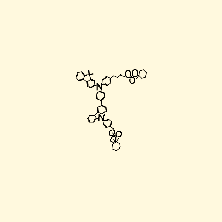 CC1(OC(=O)OCCCCc2ccc(N(c3ccc(-c4ccc5c(c4)c4ccccc4n5-c4ccc(COC(=O)OC5(C)CCCCC5)cc4)cc3)c3ccc4c(c3)C(C)(C)c3ccccc3-4)cc2)CCCCC1